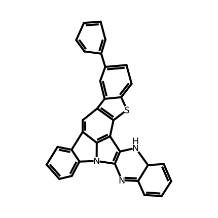 C1=CC2=Nc3c(c4c5sc6ccc(-c7ccccc7)cc6c5cc5c6ccccc6n3c54)NC2C=C1